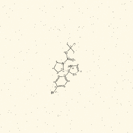 CC(C)(C)OC(=O)N1CCC[C@H]1C1(c2ccc(Br)cc2)NC=CS1